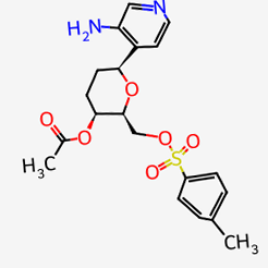 CC(=O)O[C@H]1CC[C@@H](c2ccncc2N)O[C@H]1COS(=O)(=O)c1ccc(C)cc1